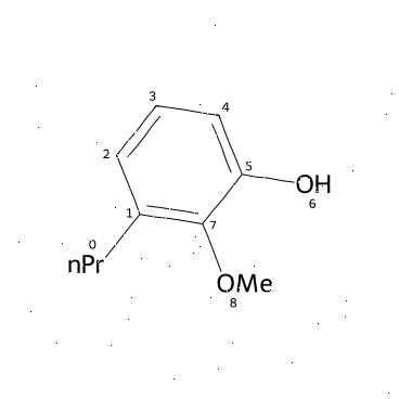 CCCc1cccc(O)c1OC